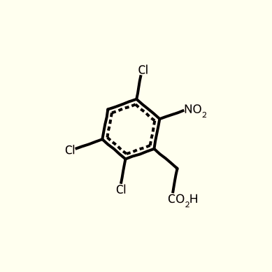 O=C(O)Cc1c(Cl)c(Cl)cc(Cl)c1[N+](=O)[O-]